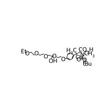 CCOCCOCCOCC(O)OCCOc1ccc(C(C)(C)[C@@H](C(=O)O)N(C)C(=O)OC(C)(C)C)cc1